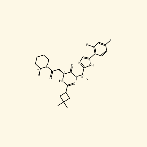 C[C@H](NC(=O)[C@H](CC(=O)N1CCCC[C@@H]1C)NC(=O)C1CC(C)(C)C1)c1ncc(-c2ccc(F)cc2F)[nH]1